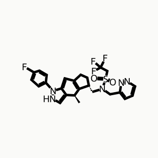 C[C@H]1C2=CNN(c3ccc(F)cc3)C2=CC2=C1[C@@H](CN(Cc1cccnn1)S(=O)(=O)CC(F)(F)F)CC2